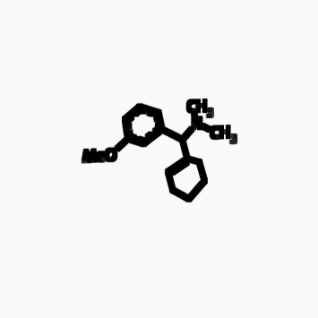 COc1cccc(C(C2=CCCCC2)N(C)C)c1